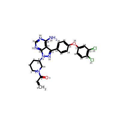 C=CC(=O)N1CCC[C@@H](n2nc(-c3ccc(Oc4ccc(Cl)c(Cl)c4)cc3)c3c(N)ncnc32)C1